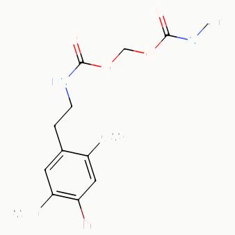 COc1cc(CCNC(=O)OCOC(=O)NC(C)C)c(OC)cc1Br